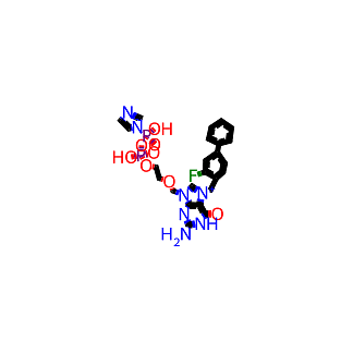 Nc1nc2c(c(=O)[nH]1)[n+](Cc1ccc(-c3ccccc3)cc1F)cn2COCCOP(=O)(O)OP(=O)(O)n1ccnc1